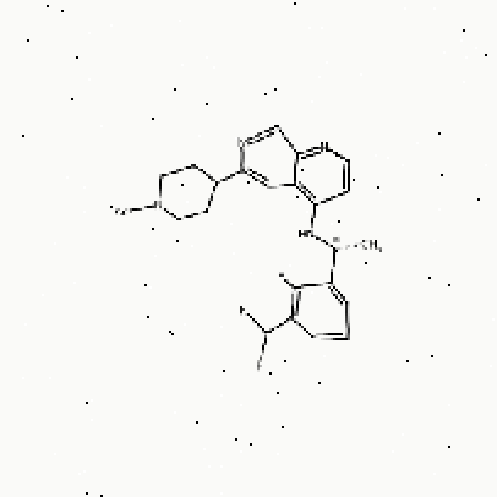 CC(=O)N1CCC(c2cc3c(N[C@H](C)c4cccc(C(F)F)c4F)ccnc3cn2)CC1